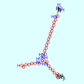 CC(C)(C)OC(=O)CCOCCOCCOCCOCCNC(=O)COc1cc(OCC(=O)NCCOCCOCCOCCOCCC(=O)O)cc(C(=O)NCCNC(=O)CCOCCOCCOCCOCCOCCOCCOCCOCCOCCOCCOCCOCCNC(=O)CCCC[C@@H]2SC[C@@H]3NC(=O)N[C@@H]32)c1